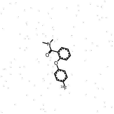 CN(C)C(=O)c1ccccc1Oc1ccc([18F])cc1